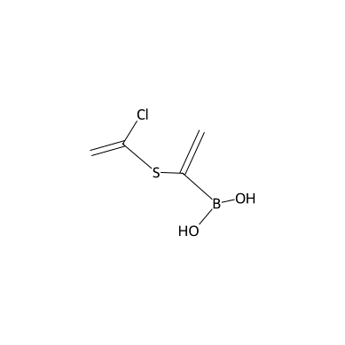 C=C(Cl)SC(=C)B(O)O